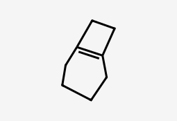 C1CCC2=C(C1)CC2